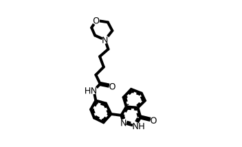 O=C(CCCCN1CCOCC1)Nc1cccc(-c2n[nH]c(=O)c3ccccc23)c1